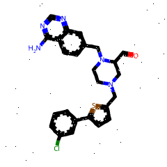 Nc1ncnc2cc(CN3CCN(Cc4ccc(-c5cccc(Cl)c5)s4)CC3C=O)ccc12